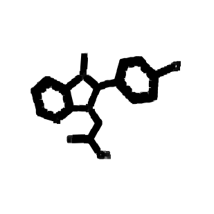 CN1c2cccnc2N(CC(=O)O)C1c1ccc(Cl)cc1